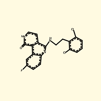 O=c1[nH]ccc2c(NCCc3c(Cl)cccc3Cl)nc3ccc(F)cc3c12